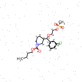 CCCCOC(=O)N1CCCC(C(OCCOS(C)(=O)=O)c2cccc(Cl)c2)C1